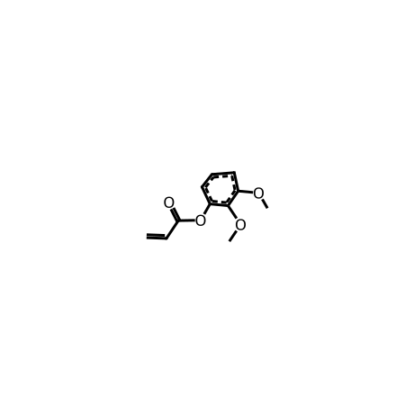 C=CC(=O)Oc1cccc(OC)c1OC